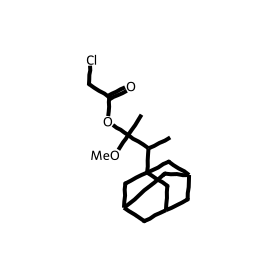 COC(C)(OC(=O)CCl)C(C)C12CC3CC(CC(C3)C1)C2